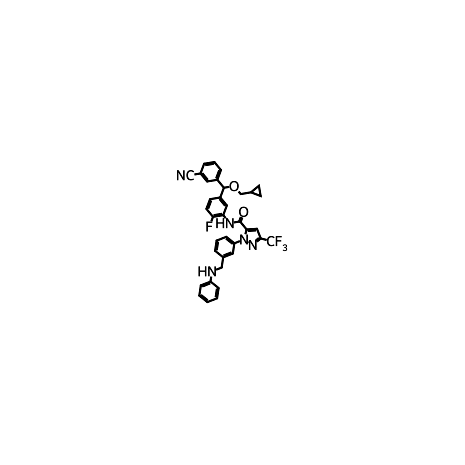 N#Cc1cccc(C(OCC2CC2)c2ccc(F)c(NC(=O)c3cc(C(F)(F)F)nn3-c3cccc(CNc4ccccc4)c3)c2)c1